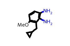 COc1ccc(N)c(N)c1CC1CC1